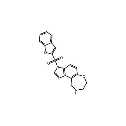 O=S(=O)(c1cc2ccccc2o1)n1ccc2c3c(ccc21)OCCNC3